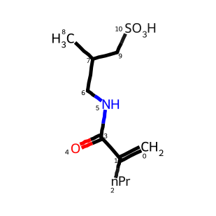 C=C(CCC)C(=O)NCC(C)CS(=O)(=O)O